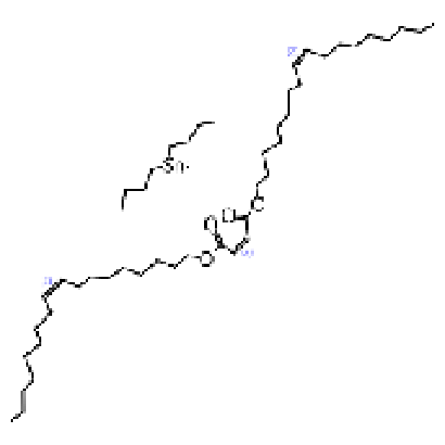 CCCCCCCC/C=C\CCCCCCCCOC(=O)/C=C\C(=O)OCCCCCCCC/C=C\CCCCCCCC.CCC[CH2][Sn][CH2]CCC